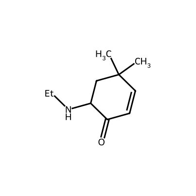 CCNC1CC(C)(C)C=CC1=O